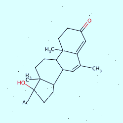 CC(=O)C1(O)CCC2C3C=C(C)C4=CC(=O)CCC4(C)C3CCC21C